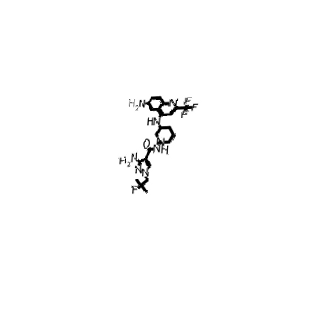 CC(C)(F)Cn1cc(C(=O)NN2CCCC(Nc3cc(C(F)(F)F)nc4ccc(N)cc34)C2)c(N)n1